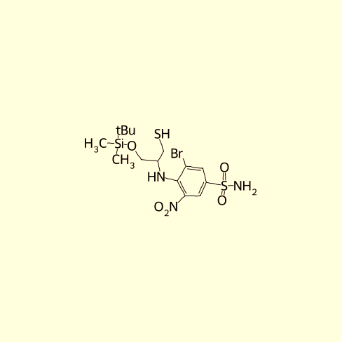 CC(C)(C)[Si](C)(C)OCC(CS)Nc1c(Br)cc(S(N)(=O)=O)cc1[N+](=O)[O-]